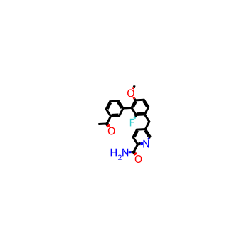 COc1ccc(Cc2ccc(C(N)=O)nc2)c(F)c1-c1cccc(C(C)=O)c1